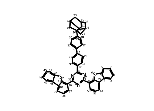 c1ccc2c(c1)sc1c(-c3nc(-c4ccc(-c5ccc(C67CC8CC(CC(C8)C6)C7)cc5)cc4)nc(-c4cccc5c4sc4ccccc45)n3)cccc12